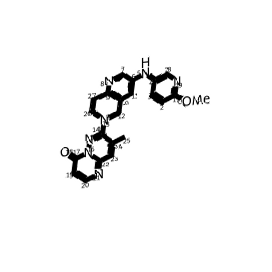 COc1ccc(Nc2cnc3c(c2)CN(c2nn4c(=O)ccnc4cc2C)CC3)cn1